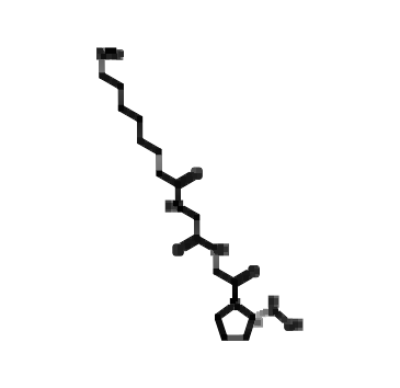 CNCCCCCCCC(=O)NCC(=O)NCC(=O)N1CCC[C@H]1BO